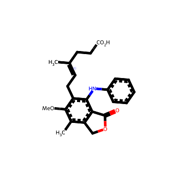 COc1c(C)c2c(c(Nc3ccccc3)c1C/C=C(\C)CCC(=O)O)C(=O)OC2